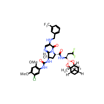 COc1cc(OC)c(NC(=O)N[C@]2(C)C[C@@H](C(=O)N[C@@H](CC(F)F)B3O[C@@H]4C[C@@H]5C[C@@H](C5(C)C)[C@]4(C)O3)n3c2ncc(NCc2cccc(C(F)(F)F)c2)c3=O)cc1Cl